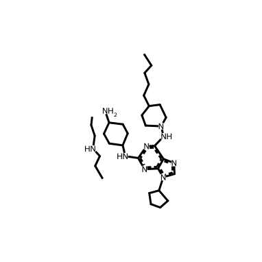 CCCCCC1CCN(Nc2nc(NC3CCC(N)CC3)nc3c2ncn3C2CCCC2)CC1.CCCNCCC